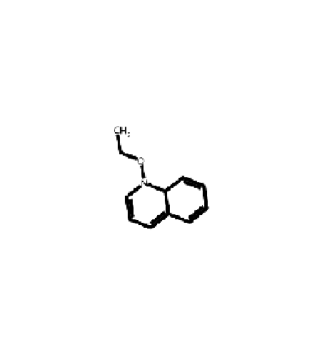 CCON1C=CC=C2C=CC=CC21